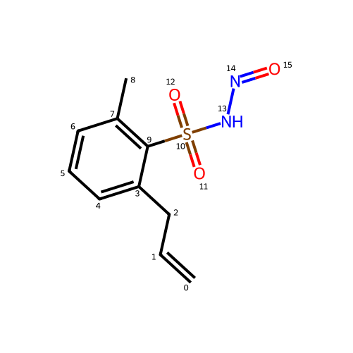 C=CCc1cccc(C)c1S(=O)(=O)NN=O